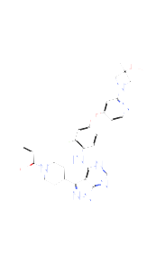 C=CC(=O)N1CCC(c2n[nH]c3ncnc(Nc4ccc(Oc5ccnc(N6CC(C)(OC)C6)c5)cc4F)c23)CC1